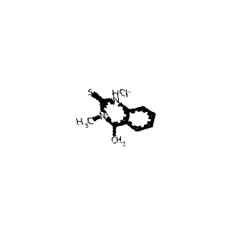 Cc1c2ccccc2[nH]c(=S)[n+]1C.[Cl-]